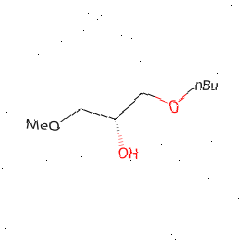 CCCCOC[C@H](O)COC